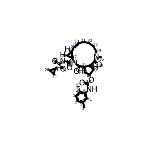 Cc1ccc(F)c(NC(=O)O[C@@H]2C[C@H]3C(=O)N[C@]4(C(=O)NS(=O)(=O)C5CC5)C[C@H]4/C=C\CCCCN(C)C(=O)[C@@H]3C2)c1